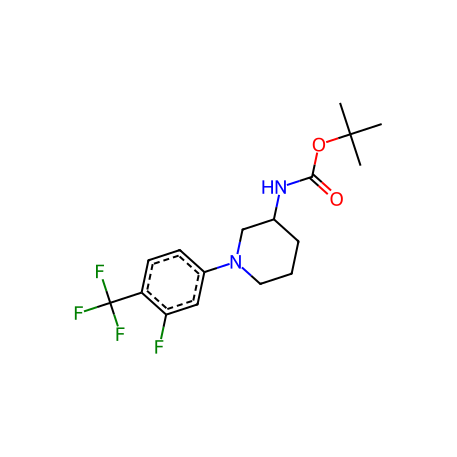 CC(C)(C)OC(=O)NC1CCCN(c2ccc(C(F)(F)F)c(F)c2)C1